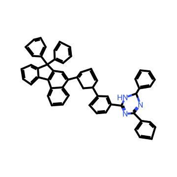 C1=CC(c2cccc(C3=NC(c4ccccc4)=NC(c4ccccc4)N3)c2)CC(c2cc3c(c4ccccc24)-c2ccccc2C3(c2ccccc2)c2ccccc2)=C1